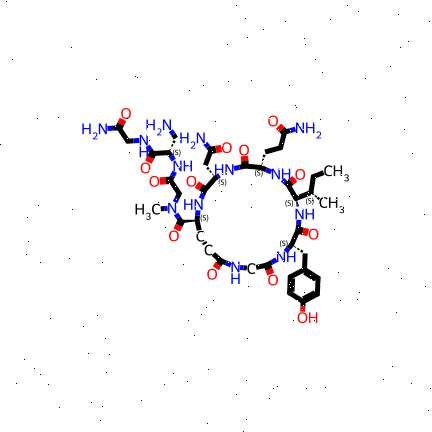 CC[C@H](C)[C@@H]1NC(=O)[C@H](Cc2ccc(O)cc2)NC(=O)CNC(=O)CC[C@@H](C(=O)N(C)CC(=O)N[C@@H](CN)C(=O)NCC(N)=O)NC(=O)[C@H](CC(N)=O)NC(=O)[C@H](CCC(N)=O)NC1=O